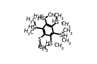 CSc1c([SiH](C)C)c([SiH](C)C)c([SH](C)C)c([SiH](C)C)c1[SH](C)C